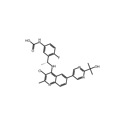 Cc1nc2ccc(-c3cnc(C(C)(C)O)nc3)cc2c(N[C@H](C)c2cc(NC(=O)O)ccc2F)c1Cl